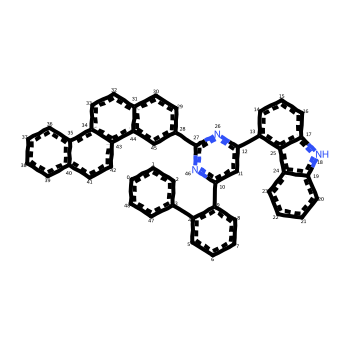 c1ccc(-c2ccccc2-c2cc(-c3cccc4[nH]c5ccccc5c34)nc(-c3ccc4ccc5c6ccccc6ccc5c4c3)n2)cc1